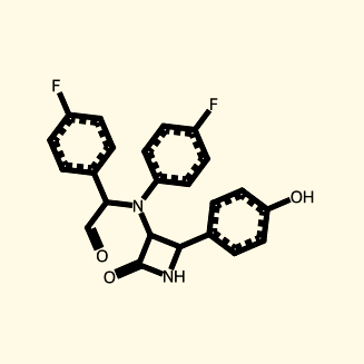 O=CC(c1ccc(F)cc1)N(c1ccc(F)cc1)C1C(=O)NC1c1ccc(O)cc1